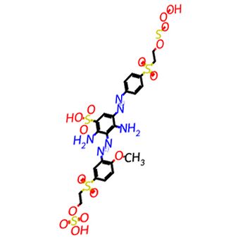 COc1ccc(S(=O)(=O)CCOS(=O)(=O)O)cc1/N=N/c1c(N)c(/N=N/c2ccc(S(=O)(=O)CCOSOOO)cc2)cc(S(=O)(=O)O)c1N